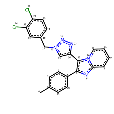 Cc1ccc(-c2nc3ccccn3c2-c2cn(Cc3ccc(Cl)c(Cl)c3)nn2)cc1